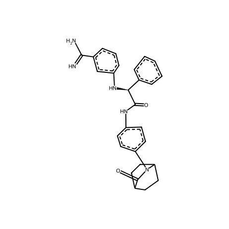 N=C(N)c1cccc(N[C@H](C(=O)Nc2ccc(N3C(=O)C4CCC3CC4)cc2)c2ccccc2)c1